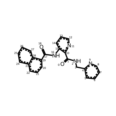 O=C(NCc1ccccn1)c1ncccc1NC(=O)c1cccc2ccccc12